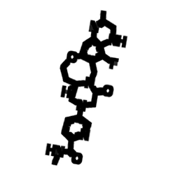 CNC(=O)c1ccc(N2CC(=O)N3Cc4c(cc5c(c4F)NCC(C)=N5)OCC[C@@H]3C2)cn1